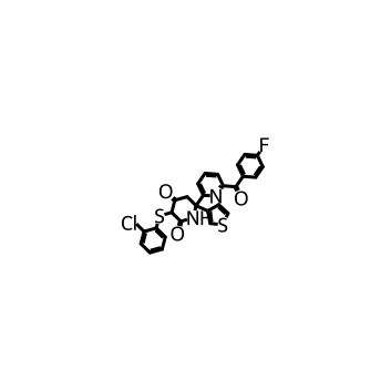 O=C(c1ccc(F)cc1)c1cccc(C2(c3ccsc3)CC(=O)C(Sc3ccccc3Cl)C(=O)N2)n1